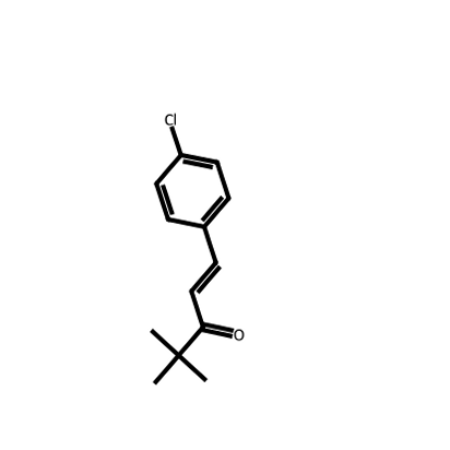 CC(C)(C)C(=O)/C=C/c1ccc(Cl)cc1